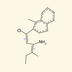 CC/C(C)=C(N)\C=C(\Cl)c1ccc2ccccc2c1C